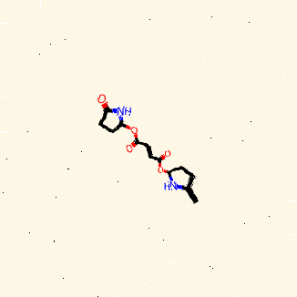 C=C1CCC(OC(=O)/C=C/C(=O)OC2CCC(=O)N2)N1